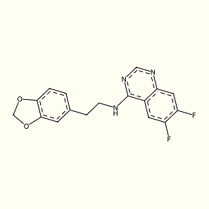 Fc1cc2ncnc(NCCc3ccc4c(c3)OCO4)c2cc1F